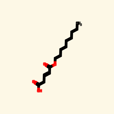 CCCCCCCCCOC(=O)C=CCC(=O)O